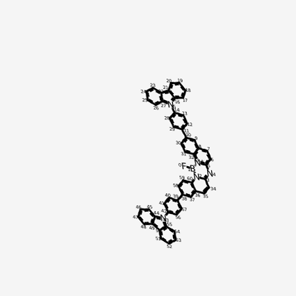 FB1N2C(=Nc3ccc4cc(-c5ccc(-n6c7ccccc7c7ccccc76)cc5)ccc4[n+]31)C=Cc1cc(-c3ccc(-n4c5ccccc5c5ccccc54)cc3)ccc12